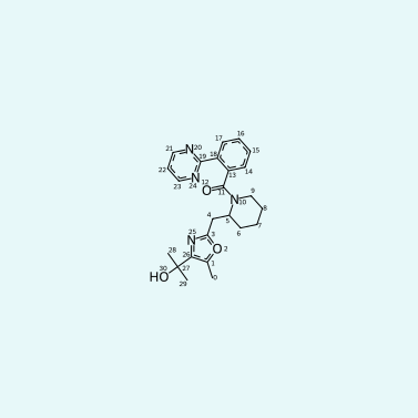 Cc1oc(CC2CCCCN2C(=O)c2ccccc2-c2ncccn2)nc1C(C)(C)O